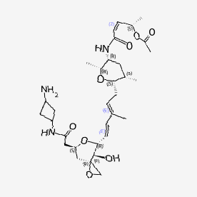 CC(=O)O[C@@H](C)/C=C\C(=O)N[C@@H]1C[C@H](C)[C@H](C/C=C(C)/C=C/[C@H]2O[C@H](CC(=O)NC3CC(N)C3)C[C@@]3(CO3)[C@@H]2O)O[C@@H]1C